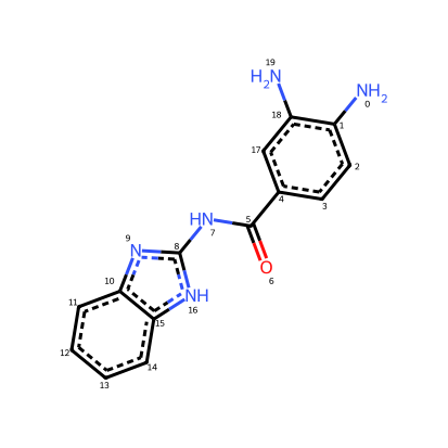 Nc1ccc(C(=O)Nc2nc3ccccc3[nH]2)cc1N